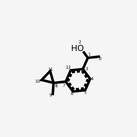 CC(O)c1cccc(C2(C)CC2)c1